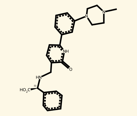 CN1CCN(c2cccc(-c3ccc(CN[C@H](C(=O)O)c4ccccc4)c(=O)[nH]3)c2)CC1